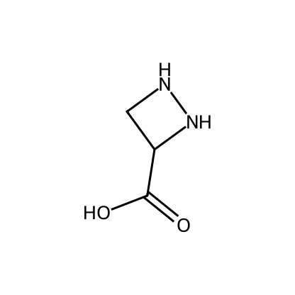 O=C(O)C1CNN1